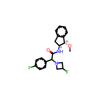 CO[C@H]1c2ccccc2C[C@@H]1NC(=O)C(c1ccc(F)cc1)N1CC(F)C1